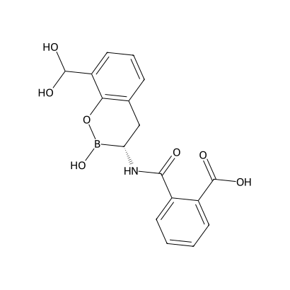 O=C(O)c1ccccc1C(=O)N[C@H]1Cc2cccc(C(O)O)c2OB1O